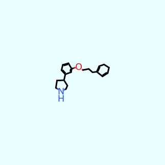 C1=CC(CCCOc2cccc(C3CCNCC3)c2)=CCC1